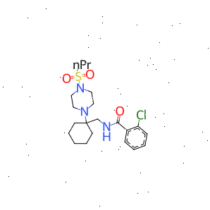 CCCS(=O)(=O)N1CCN(C2(CNC(=O)c3ccccc3Cl)CCCCC2)CC1